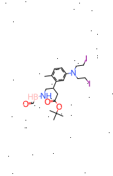 Cc1ccc(N(CCI)CCI)cc1C(CNBC=O)CC(=O)OC(C)(C)C